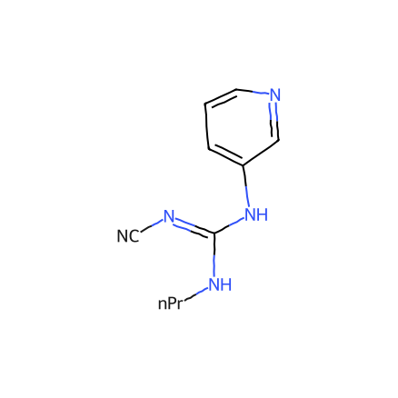 CCCNC(=NC#N)Nc1cccnc1